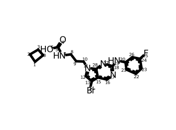 C1CCC1.O=C(O)NCCCn1cc(Br)c2cnc(Nc3cccc(F)c3)nc21